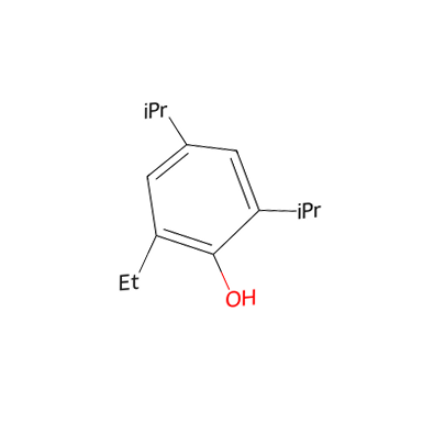 CCc1cc(C(C)C)cc(C(C)C)c1O